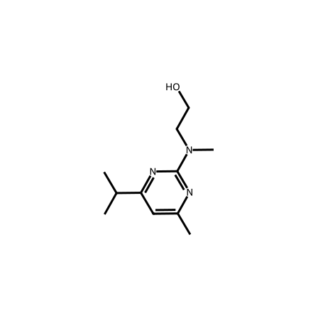 Cc1cc(C(C)C)nc(N(C)CCO)n1